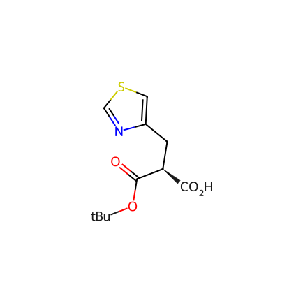 CC(C)(C)OC(=O)[C@@H](Cc1cscn1)C(=O)O